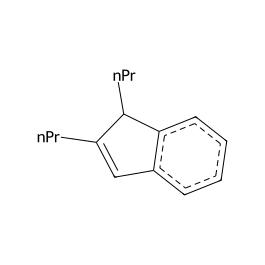 CCCC1=Cc2ccccc2C1CCC